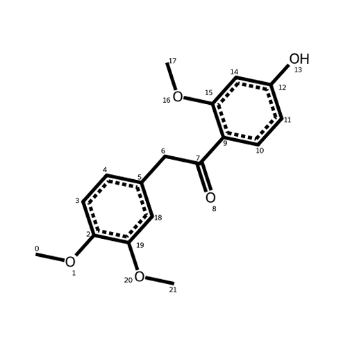 COc1ccc(CC(=O)c2ccc(O)cc2OC)cc1OC